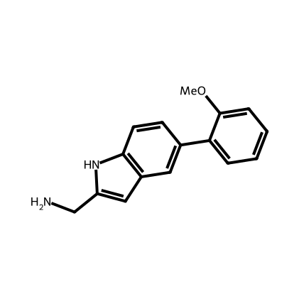 COc1ccccc1-c1ccc2[nH]c(CN)cc2c1